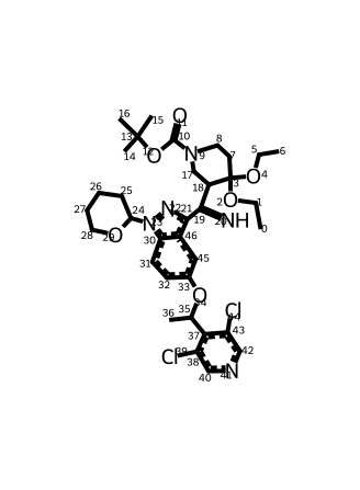 CCOC1(OCC)CCN(C(=O)OC(C)(C)C)CC1C(=N)c1nn(C2CCCCO2)c2ccc(OC(C)c3c(Cl)cncc3Cl)cc12